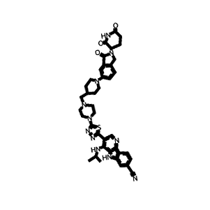 CC(C)Nc1c(-c2nnc(N3CCN(CC4CCN(c5ccc6c(c5)C(=O)N(C5CCC(=O)NC5=O)C6)CC4)CC3)s2)cnc2c1[nH]c1cc(C#N)ccc12